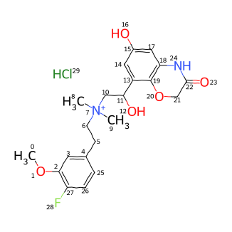 COc1cc(CC[N+](C)(C)CC(O)c2cc(O)cc3c2OCC(=O)N3)ccc1F.Cl